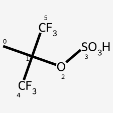 CC(OS(=O)(=O)O)(C(F)(F)F)C(F)(F)F